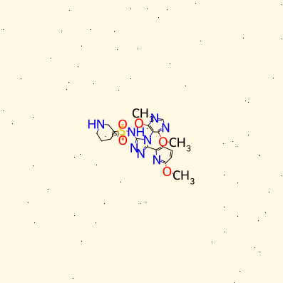 COc1cccc(-c2nnc(NS(=O)(=O)[C@H]3CCCNC3)n2-c2c(OC)ncnc2OC)n1